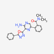 CN(C)C(=O)c1ccccc1-c1cnc(N)c(-c2nnc(-c3ccccc3)o2)n1